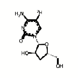 [2H]c1cn([C@@H]2O[C@H](CO)C[C@H]2O)c(=O)nc1N